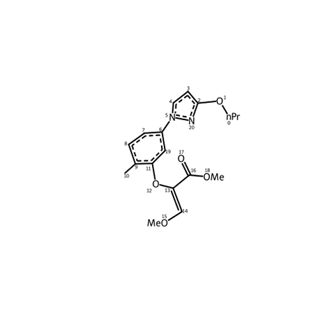 CCCOc1ccn(-c2ccc(C)c(O/C(=C\OC)C(=O)OC)c2)n1